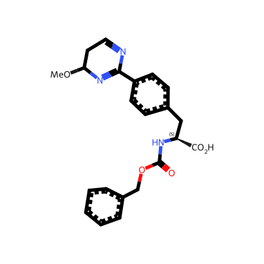 COC1CC=NC(c2ccc(C[C@H](NC(=O)OCc3ccccc3)C(=O)O)cc2)=N1